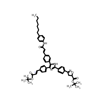 CCCCCCCc1ccc(NC(=O)C=Cc2ccc(-c3[nH]c(-c4ccc(C5=NOC(C(=O)OC(C)(C)C)C5)cc4)nc3-c3ccc(/C=C/C(=O)OC(C)(C)C)cc3)cc2)cc1